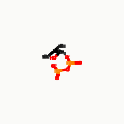 CCC[CH2][Sn+2][CH2]CCC.CO.O=[PH]([O-])O[PH](=O)[O-]